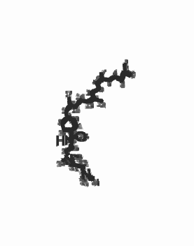 CC(C)=CCCC(C)=CCCC(C)=CCCC(C)=Cc1ccc(C(=O)NCC[N+](C)(C)CCN(C)C)cc1